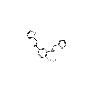 O=C(O)c1ccc(NCc2ccco2)cc1NCc1ccco1